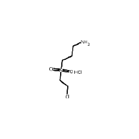 Cl.NCCCS(=O)(=O)CCCl